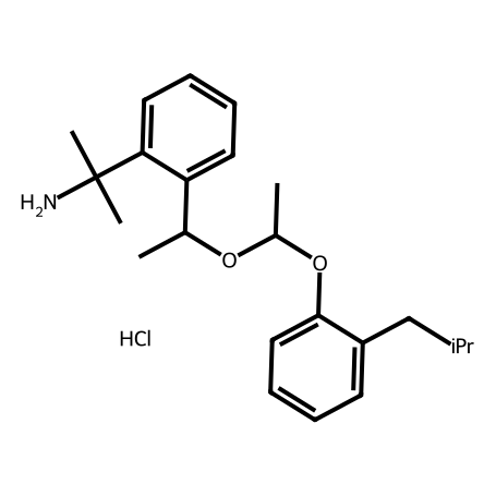 CC(C)Cc1ccccc1OC(C)OC(C)c1ccccc1C(C)(C)N.Cl